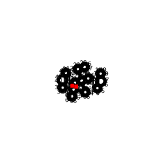 c1ccc2c(c1)CCc1ccccc1N2c1ccc2c(-c3cccc4ccccc34)c3cc(N4c5ccccc5CCc5ccccc54)ccc3c(-c3ccccc3-c3cccc4ccccc34)c2c1